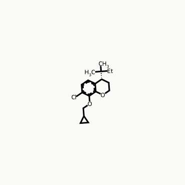 CCC(C)(C)[C@@H]1CCOc2c1ccc(Cl)c2OCC1CC1